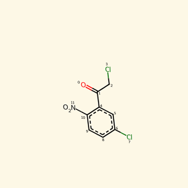 O=C(CCl)c1cc(Cl)ccc1[N+](=O)[O-]